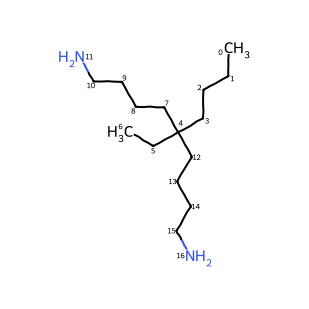 CCCCC(CC)(CCCCN)CCCCN